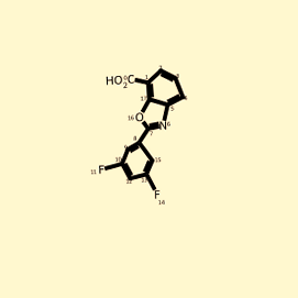 O=C(O)c1cccc2nc(-c3cc(F)cc(F)c3)oc12